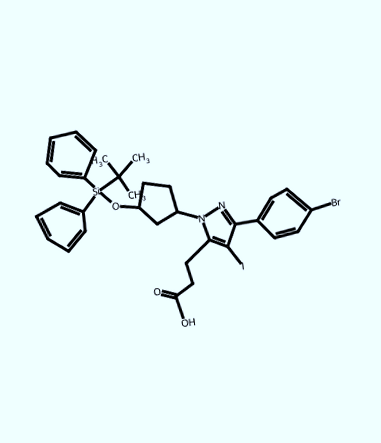 CC(C)(C)[Si](OC1CCC(n2nc(-c3ccc(Br)cc3)c(I)c2CCC(=O)O)C1)(c1ccccc1)c1ccccc1